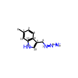 Cc1ccc2c(CN=[N+]=[N-])c[nH]c2c1